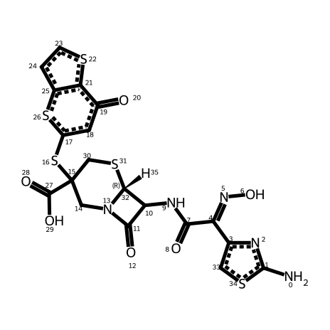 Nc1nc(C(=NO)C(=O)NC2C(=O)N3CC(Sc4cc(=O)c5sccc5s4)(C(=O)O)CS[C@H]23)cs1